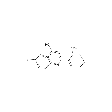 COc1ccccc1-c1cc(O)c2cc(Cl)ccc2n1